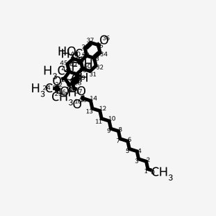 CCCCCCCCCCCCCCCC(=O)OCC(=O)[C@@]12OC(C)(C)O[C@@H]1C[C@H]1[C@@H]3CCC4=CC(=O)C=C[C@]4(C)C3(F)[C@@H](O)C[C@@]12C